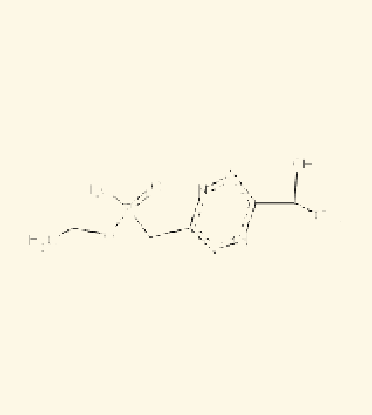 CCOP(C)(=O)Cc1nnc(C(C)C)nn1